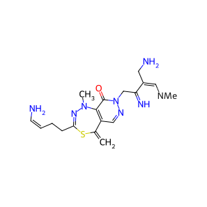 C=C1SC(CC/C=C\N)=NN(C)c2c1cnn(CC(=N)/C(=C\NC)CN)c2=O